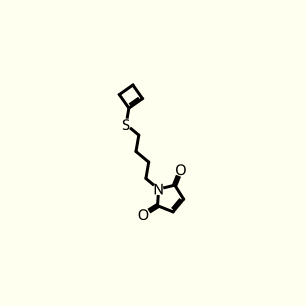 O=C1C=CC(=O)N1CCCCSC1=CCC1